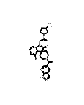 O=C(CN1C(=O)C2(CCN(C(=O)c3cnc4[nH]ncc4c3)CC2)c2c(Br)cccc21)N1CCC(C(F)(F)F)C1